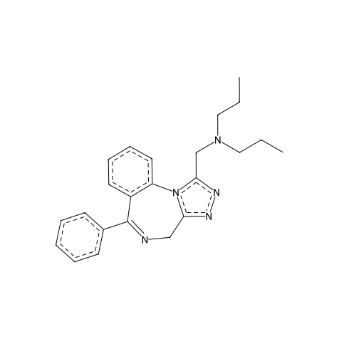 CCCN(CCC)Cc1nnc2n1-c1ccccc1C(c1ccccc1)=NC2